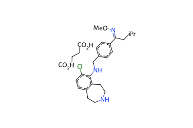 CO/N=C(/CC(C)C)c1ccc(CNc2c(Cl)ccc3c2CCNCC3)cc1.O=C(O)CCC(=O)O